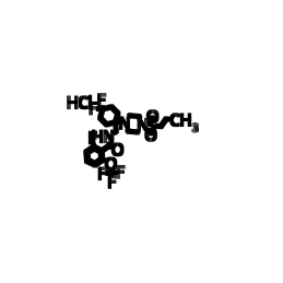 CCCS(=O)(=O)N1CCN(C2(CNC(=O)c3c(F)cccc3OC(F)(F)F)CCC(F)(F)CC2)CC1.Cl